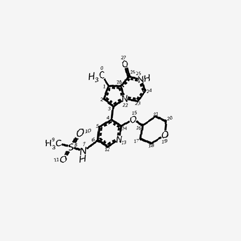 Cc1cc(-c2cc(NS(C)(=O)=O)cnc2OC2CCOCC2)n2cc[nH]c(=O)c12